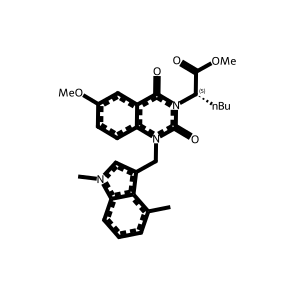 CCCC[C@@H](C(=O)OC)n1c(=O)c2cc(OC)ccc2n(Cc2cn(C)c3cccc(C)c23)c1=O